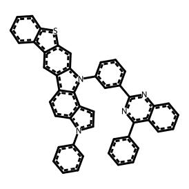 c1ccc(-c2nc(-c3cccc(-n4c5cc6sc7ccccc7c6cc5c5ccc6c(ccn6-c6ccccc6)c54)c3)nc3ccccc23)cc1